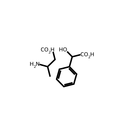 CC(N)CC(=O)O.O=C(O)C(O)c1ccccc1